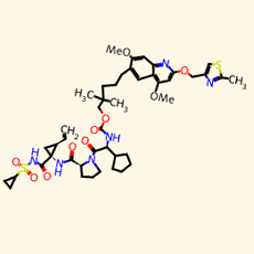 C=C[C@@H]1C[C@]1(NC(=O)[C@@H]1CCCN1C(=O)[C@@H](NC(=O)OCC(C)(C)CCCc1cc2c(OC)cc(OCc3csc(C)n3)nc2cc1OC)C1CCCC1)C(=O)NS(=O)(=O)C1CC1